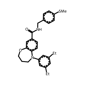 CCc1cc(CC)cc(N2CCCOc3cc(C(=O)NCc4ccc(SC)cc4)ccc32)c1